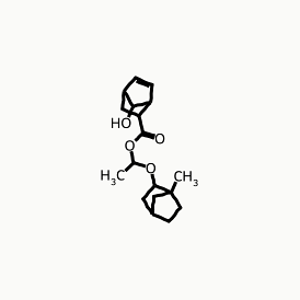 CC(OC(=O)C1CC2C=CC1C2O)OC1CC2CCC1(C)C2